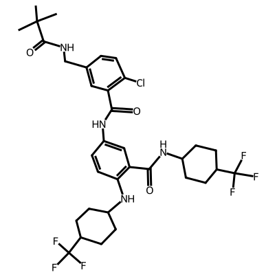 CC(C)(C)C(=O)NCc1ccc(Cl)c(C(=O)Nc2ccc(NC3CCC(C(F)(F)F)CC3)c(C(=O)NC3CCC(C(F)(F)F)CC3)c2)c1